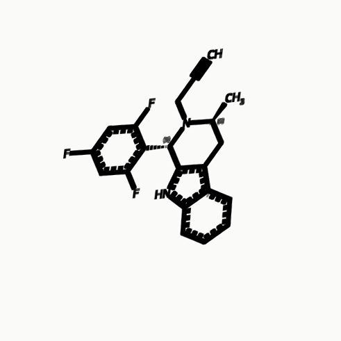 C#CCN1[C@@H](c2c(F)cc(F)cc2F)c2[nH]c3ccccc3c2C[C@@H]1C